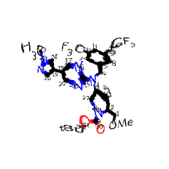 COCC1C[C@H](N(Cc2cc(C(F)(F)F)cc(C(F)(F)F)c2)c2ncc(-c3cnn(C)c3)cn2)CN1C(=O)OC(C)(C)C